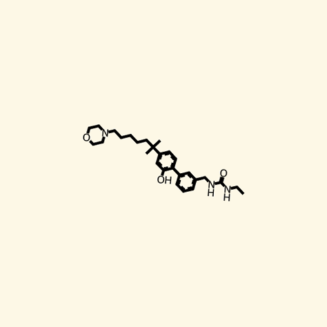 CCNC(=O)NCc1cccc(-c2ccc(C(C)(C)CCCCCN3CCOCC3)cc2O)c1